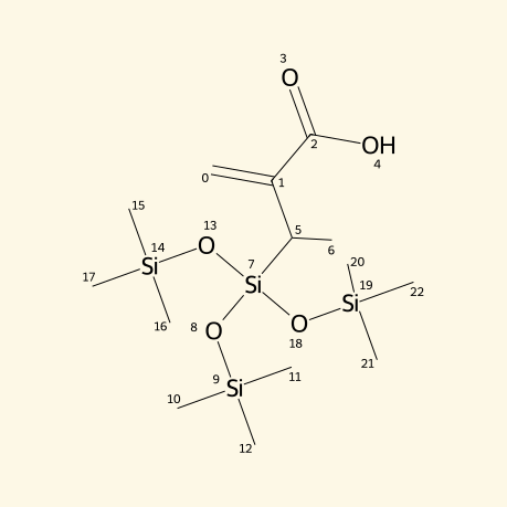 C=C(C(=O)O)C(C)[Si](O[Si](C)(C)C)(O[Si](C)(C)C)O[Si](C)(C)C